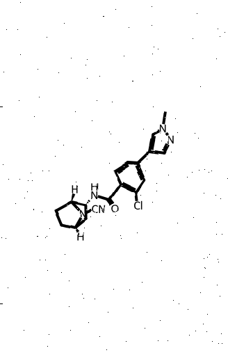 Cn1cc(-c2ccc(C(=O)N[C@@H]3C[C@@H]4CC[C@H]3N4C#N)c(Cl)c2)cn1